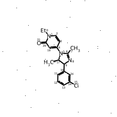 CCn1ccc(N2C(C)=NC(c3cccc(Cl)c3)C2C)cc1=O